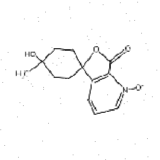 CC1(O)CCC2(CC1)OC(=O)c1c2ccc[n+]1[O-]